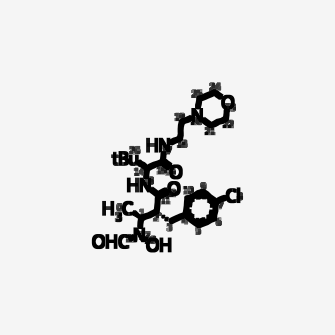 C[C@@H]([C@@H](Cc1ccc(Cl)cc1)C(=O)NC(C(=O)NCCN1CCOCC1)C(C)(C)C)N(O)C=O